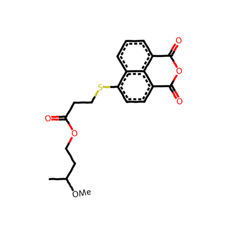 COC(C)CCOC(=O)CCSc1ccc2c3c(cccc13)C(=O)OC2=O